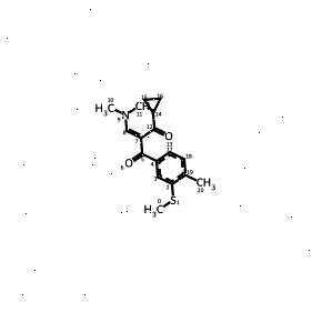 CSc1cc(C(=O)C(=CN(C)C)C(=O)C2CC2)ccc1C